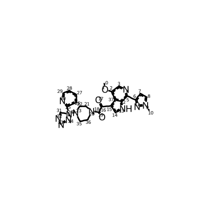 COc1cnc(-c2ccn(C)n2)c2[nH]cc(C(=O)C(=O)N3CCN([N+]4(c5ccccn5)C=NN=N4)CC3)c12